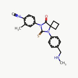 [C-]#[N+]c1ccc(N2C(=O)C3(CCC3)N(c3ccc(CNC)cc3)C2=S)cc1C